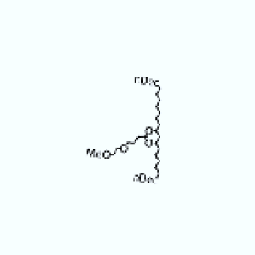 CCCCCCCCCCCCCCCCCC(CCCCCCCCCCCCCCCCC)OC(=O)CCCOCCOC